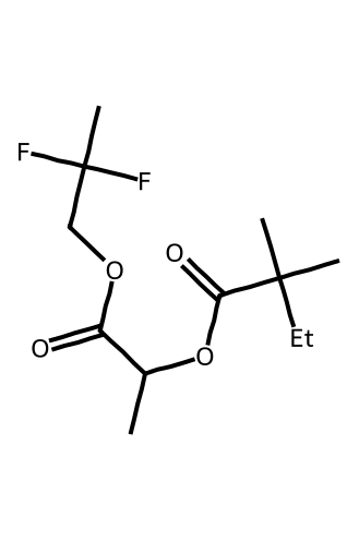 CCC(C)(C)C(=O)OC(C)C(=O)OCC(C)(F)F